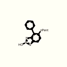 CCCCCc1ccc2nn(O)nc2c1-c1ccccc1